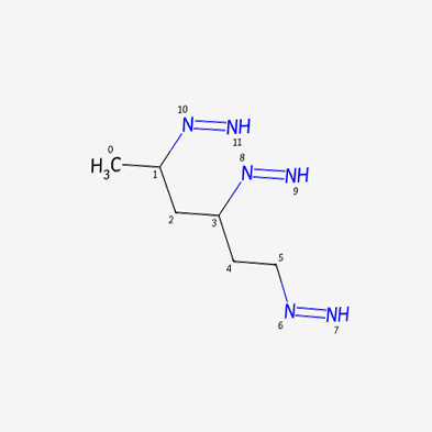 CC(CC(CCN=N)N=N)N=N